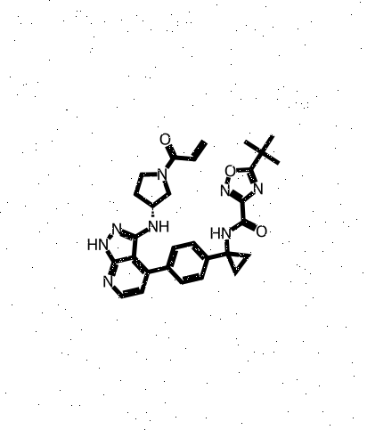 C=CC(=O)N1CC[C@@H](Nc2n[nH]c3nccc(-c4ccc(C5(NC(=O)c6noc(C(C)(C)C)n6)CC5)cc4)c23)C1